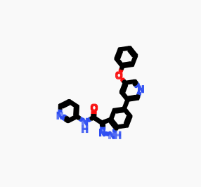 O=C(Nc1cccnc1)c1n[nH]c2ccc(-c3cncc(Oc4ccccc4)c3)cc12